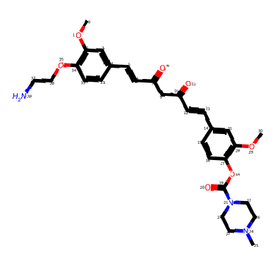 COc1cc(C=CC(=O)CC(=O)C=Cc2ccc(OC(=O)N3CCN(C)CC3)c(OC)c2)ccc1OCCN